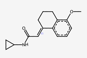 COc1cccc2c1CCC/C2=C\C(=O)NC1CC1